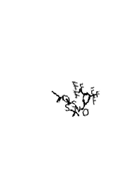 CC(C)OC(=S)SN(C(=O)c1cc(C(F)(F)F)cc(C(F)(F)F)c1)C(C)(C)C